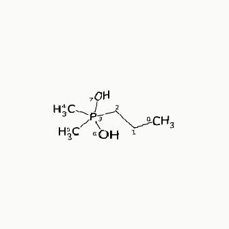 CCCP(C)(C)(O)O